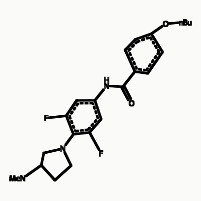 CCCCOc1ccc(C(=O)Nc2cc(F)c(N3CCC(NC)C3)c(F)c2)cc1